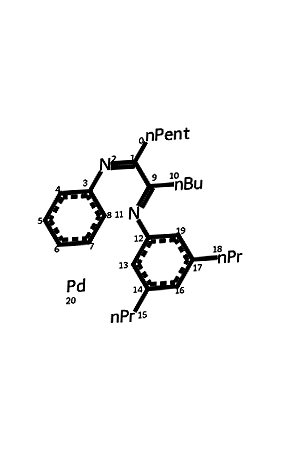 CCCCCC(=Nc1ccccc1)C(CCCC)=Nc1cc(CCC)cc(CCC)c1.[Pd]